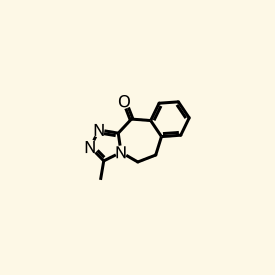 Cc1nnc2n1CCc1ccccc1C2=O